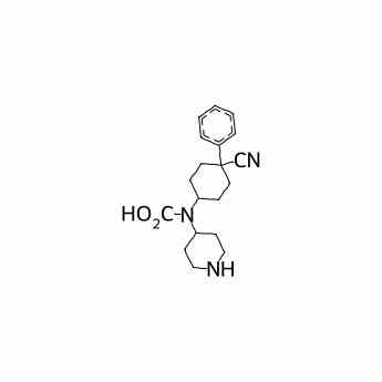 N#CC1(c2ccccc2)CCC(N(C(=O)O)C2CCNCC2)CC1